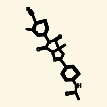 CC(=O)Nc1ccc(C2=NN3C(=O)N(c4ccc(C#N)c(C)c4)C(=O)C3(C)C2)cc1